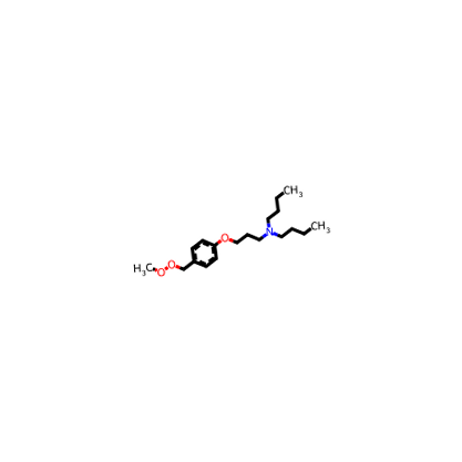 CCCCN(CCCC)CCCOc1ccc(COOC)cc1